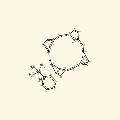 C1=Cc2cc3ccc(cc4nc(cc5ccc(cc1n2)[nH]5)C=C4)[nH]3.[NH2][Ni]([NH2])([NH2])([NH2])[c]1ccccc1